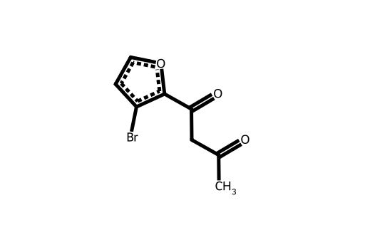 CC(=O)CC(=O)c1occc1Br